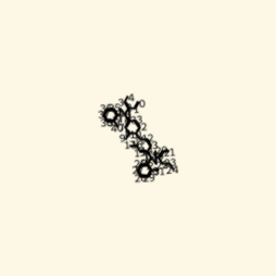 C=C/C(=C\C)N(C1=CC(C)C(C/C=C\C(=C/CC)N(/C(=C/C)CCC)c2ccccc2C)C=C1)c1ccccc1C